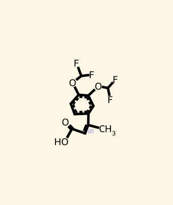 C/C(=C/C(=O)O)c1ccc(OC(F)F)c(OC(F)F)c1